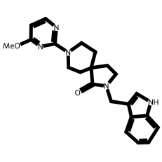 COc1ccnc(N2CCC3(CCN(Cc4c[nH]c5ccccc45)C3=O)CC2)n1